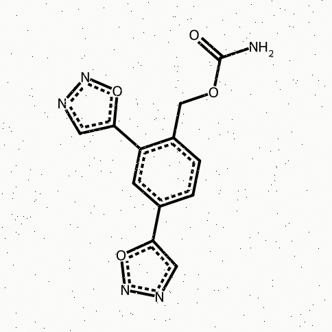 NC(=O)OCc1ccc(-c2cnno2)cc1-c1cnno1